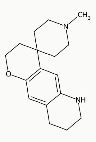 CN1CCC2(CCOc3cc4c(cc32)NCCC4)CC1